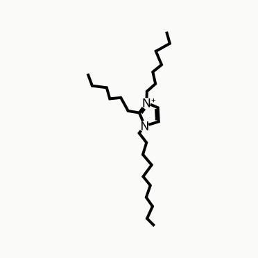 CCCCCCCCCCn1cc[n+](CCCCCCC)c1CCCCCC